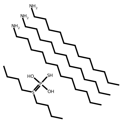 CCCCCCCCCCCCN.CCCCCCCCCCCCN.CCCCCCCCCCCCN.CCCCS(CCCC)=P(O)(O)S